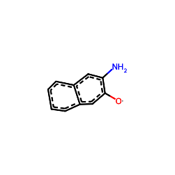 Nc1cc2ccccc2cc1[O]